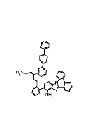 NC/C=C(\C=Cc1ccccc1-c1ccc2c(nc3c4ccccc4c4ccccc4n23)c1N)c1cccc(-c2ccc(-c3ccccc3)cc2)c1